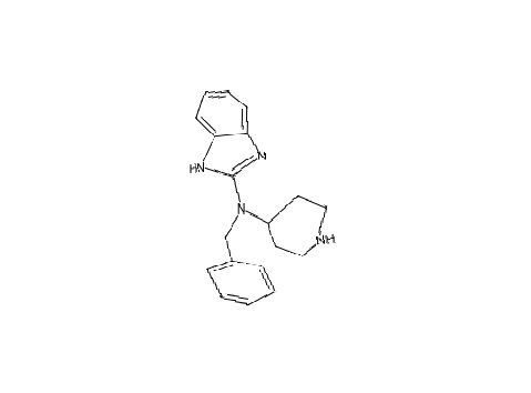 c1ccc(CN(c2nc3ccccc3[nH]2)C2CCNCC2)cc1